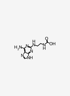 Nc1nc(NCCNC(=O)O)nc2[nH]cnc12